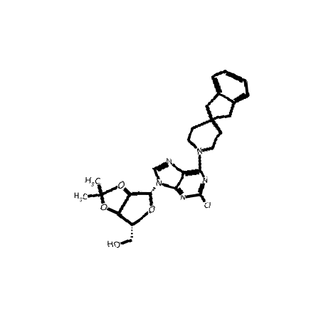 CC1(C)OC2C(O1)[C@@H](CO)O[C@H]2n1cnc2c(N3CCC4(CC3)Cc3ccccc3C4)nc(Cl)nc21